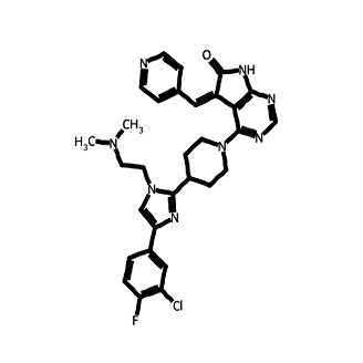 CN(C)CCn1cc(-c2ccc(F)c(Cl)c2)nc1C1CCN(c2ncnc3c2/C(=C/c2ccncc2)C(=O)N3)CC1